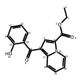 CCOC(=O)c1cc(C(=O)c2ccccc2O)c2ccccn12